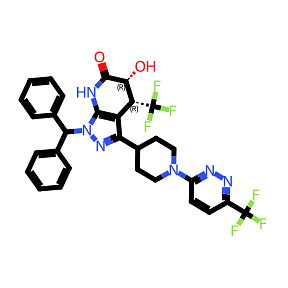 O=C1Nc2c(c(C3CCN(c4ccc(C(F)(F)F)nn4)CC3)nn2C(c2ccccc2)c2ccccc2)[C@@H](C(F)(F)F)[C@H]1O